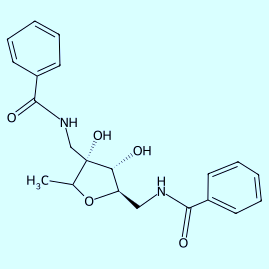 CC1O[C@H](CNC(=O)c2ccccc2)[C@@H](O)[C@]1(O)CNC(=O)c1ccccc1